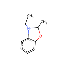 CCN1c2ccccc2OC1C